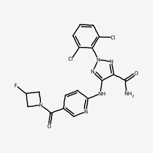 NC(=O)c1nn(-c2c(Cl)cccc2Cl)nc1Nc1ccc(C(=O)N2CC(F)C2)cn1